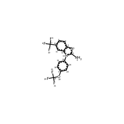 Nc1nc2ccc(C(F)(F)F)cc2n1-c1ccc(OC(F)(F)F)cc1